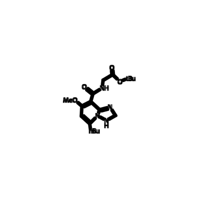 CCCCC1=CC(OC)=C(C(=O)NCC(=O)OC(C)(C)C)C2=NCNN12